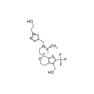 C[C@H]1C[C@@]2(CCN1Cc1cnn(CCO)c1)OCCc1c2sc(C(F)(F)F)c1CO